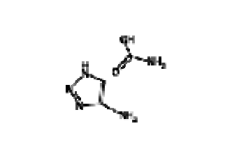 NC(=O)O.Nc1c[nH]nn1